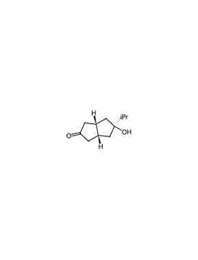 CC(C)[C@@]1(O)C[C@H]2CC(=O)C[C@H]2C1